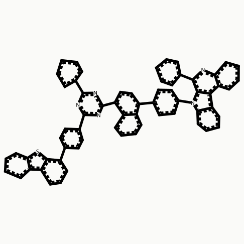 c1ccc(-c2nc(-c3ccc(-c4cccc5c4sc4ccccc45)cc3)nc(-c3ccc(-c4ccc(-n5c6ccccc6c6c7ccccc7nc(-c7ccccc7)c65)cc4)c4ccccc34)n2)cc1